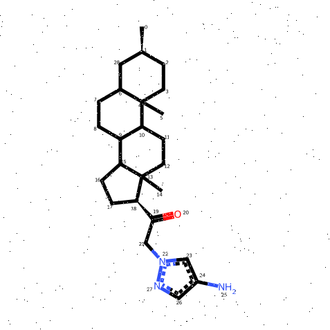 C[C@H]1CCC2(C)C(CCC3C2CCC2(C)C3CC[C@@H]2C(=O)Cn2cc(N)cn2)C1